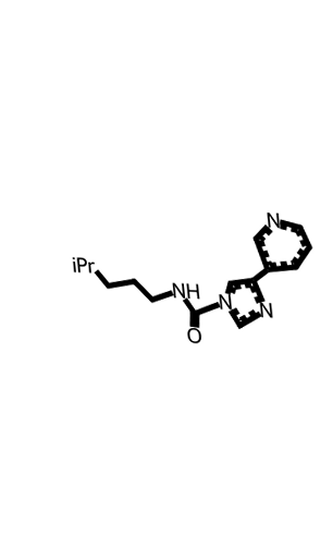 CC(C)CCCNC(=O)n1cnc(-c2cccnc2)c1